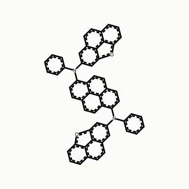 c1ccc(N(c2cc3ccc4cccc5oc(c2)c3c45)c2ccc3ccc4c(N(c5ccccc5)c5cc6ccc7cccc8oc(c5)c6c78)ccc5ccc2c3c54)cc1